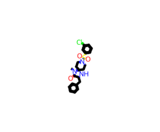 CN1C(=O)C(Cc2ccccc2)NC12CCN(S(=O)(=O)c1cccc(Cl)c1)CC2